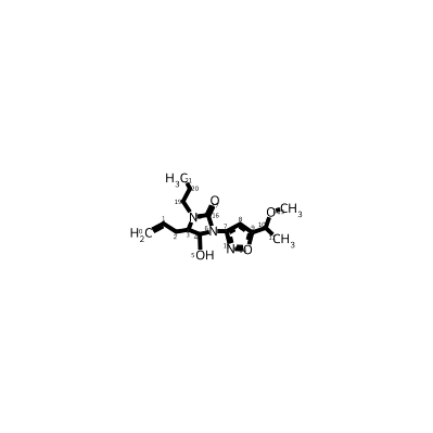 C=CCC1C(O)N(c2cc(C(C)OC)on2)C(=O)N1CCC